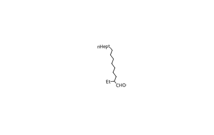 CCCCCCCCCCCCCCC([C]=O)CC